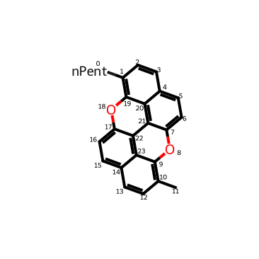 CCCCCc1ccc2ccc3oc4c(C)ccc5ccc6oc1c2c3-c6c54